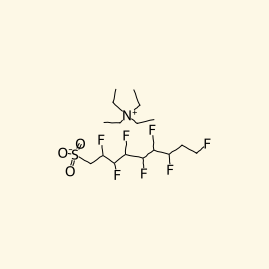 CC[N+](CC)(CC)CC.O=S(=O)([O-])CC(F)C(F)C(F)C(F)C(F)C(F)CCF